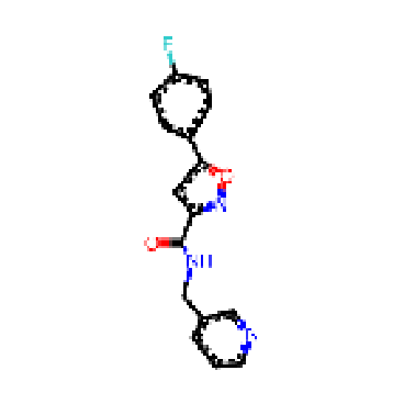 O=C(NCc1cccnc1)c1cc(-c2ccc(F)cc2)on1